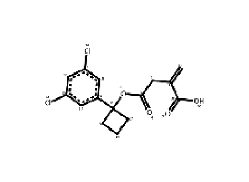 C=C(CC(=O)OC1(c2cc(Cl)cc(Cl)c2)CCC1)C(=O)O